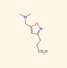 CN(C)Cc1cc(CCC(=O)O)no1